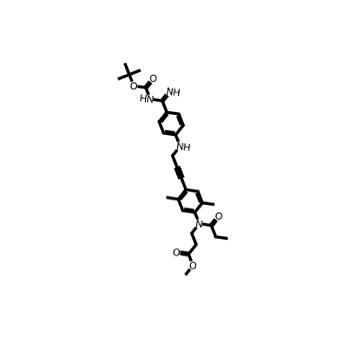 CCC(=O)N(CCC(=O)OC)c1cc(C)c(C#CCNc2ccc(C(=N)NC(=O)OC(C)(C)C)cc2)cc1C